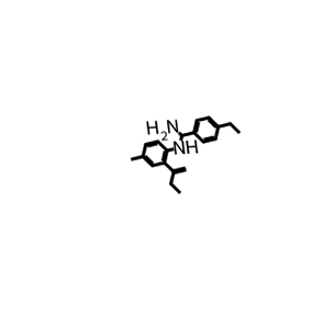 C=C(CC)c1cc(C)ccc1NC(N)c1ccc(CC)cc1